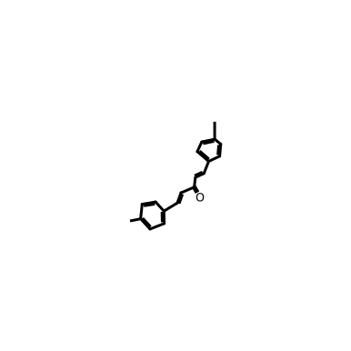 Cc1ccc(C=CC(=O)C=Cc2ccc(C)cc2)cc1